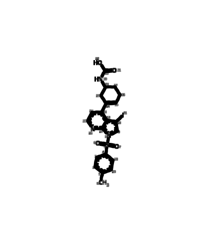 Cc1ccc(S(=O)(=O)n2cc(I)c3c(C4=CCCC(NC(=O)O)C4)ccnc32)cc1